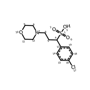 O=S(=O)(O)C(CCN1CCOCC1)c1ccc(Cl)cc1